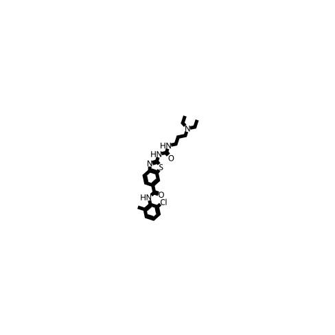 CCN(CC)CCCNC(=O)Nc1nc2ccc(C(=O)Nc3c(C)cccc3Cl)cc2s1